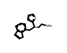 CNCC[C@@H](Cc1cccc2c1CC=C2)c1cccs1